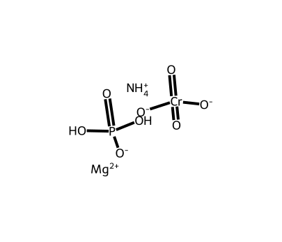 O=P([O-])(O)O.[Mg+2].[NH4+].[O]=[Cr](=[O])([O-])[O-]